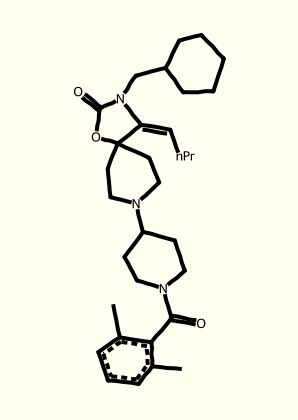 CCC/C=C1/N(CC2CCCCC2)C(=O)OC12CCN(C1CCN(C(=O)c3c(C)cccc3C)CC1)CC2